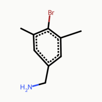 Cc1cc(CN)cc(C)c1Br